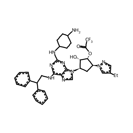 CCc1cnn([C@H]2C[C@@H](n3cnc4c(NCC(c5ccccc5)c5ccccc5)nc(NC5CCC(N)CC5)nc43)[C@H](O)[C@@H]2OC(=O)C(F)(F)F)c1